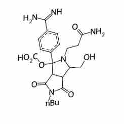 CCCCN1C(=O)C2C(CO)N(CCC(N)=O)C(OC(=O)O)(c3ccc(C(=N)N)cc3)C2C1=O